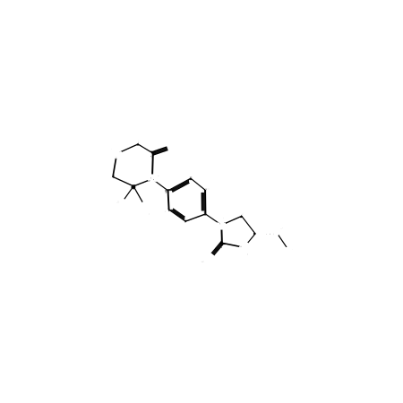 [2H]C1([2H])COCC(=O)N1c1ccc(N2C[C@H](CCl)OC2=O)cc1